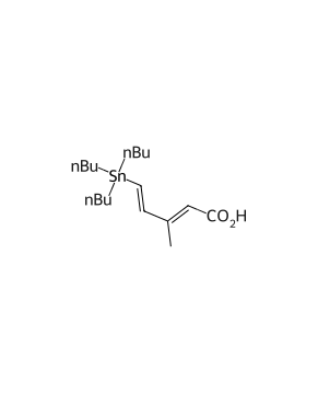 CCC[CH2][Sn]([CH]=CC(C)=CC(=O)O)([CH2]CCC)[CH2]CCC